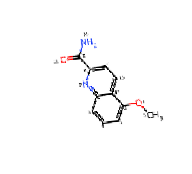 COc1cc[c]c2nc(C(N)=O)ccc12